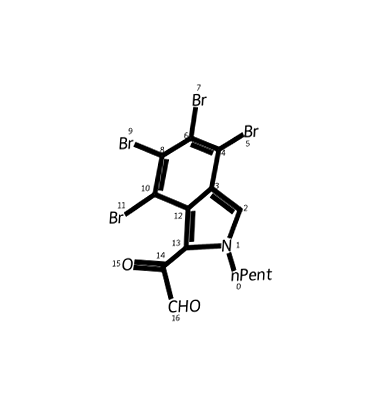 CCCCCn1cc2c(Br)c(Br)c(Br)c(Br)c2c1C(=O)C=O